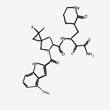 COc1cccc2[nH]c(C(=O)N3CC4(CC3C(=O)NC(CC3CCCNC3=O)C(=O)C(N)=O)CC4(F)F)cc12